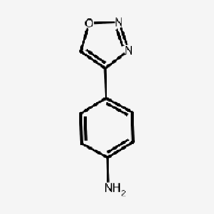 Nc1ccc(-c2conn2)cc1